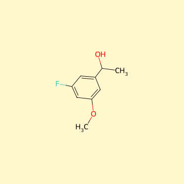 COc1cc(F)cc(C(C)O)c1